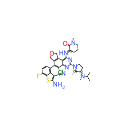 CC(C)N(C)[C@H]1CCN(c2nc(N[C@@H]3CCCN(C)C3=O)c3c4c(c(-c5ccc(F)c6sc(N)c(C#N)c56)c(Cl)c3n2)COC4)[C@H]1C